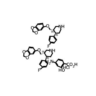 Cl.Fc1ccc([C@@H]2CCNC[C@H]2COc2ccc3c(c2)OCO3)cc1.Fc1ccc([C@@H]2CCNC[C@H]2COc2ccc3c(c2)OCO3)cc1.Nc1ccc(C(=O)O)c(O)c1